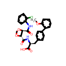 COc1ccccc1-c1ccc(C[C@H](NC(=O)[C@@H]2OCO[C@H]2C(=O)Nc2ccccc2Cl)C(=O)O)cc1